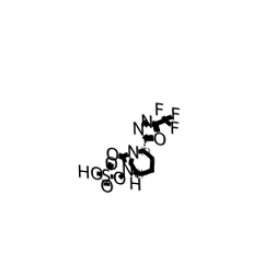 O=C1N2C[C@@H](CC[C@H]2c2nnc(C(F)(F)F)o2)N1OS(=O)(=O)O